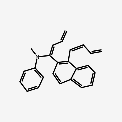 C=C/C=C\c1c(/C(=C\C=C)N(C)c2ccccc2)ccc2ccccc12